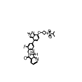 [2H]C1([2H])c2ncccc2C(=O)N1Cc1c(F)cc(-c2ccc(OC3CN(S(=O)(=O)C(C)C)C3)c3nn(C)cc23)cc1F